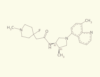 Cc1ccc(N2C[C@@H](C)[C@@H](NC(=O)CC3(F)CCN(C)CC3)C2)c2cccnc12